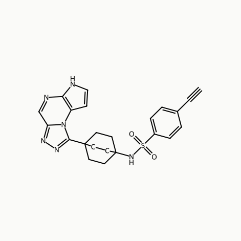 C#Cc1ccc(S(=O)(=O)NC23CCC(c4nnc5cnc6[nH]ccc6n45)(CC2)CC3)cc1